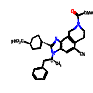 COC(=O)N1CCc2c(C#N)cc3c(nc([C@H]4CC[C@H](C(=O)O)CC4)n3[C@H](C)Cc3ccccc3)c2C1